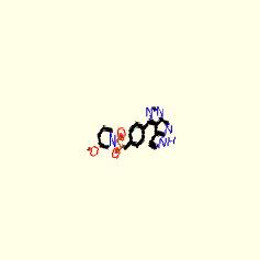 COC1CCCN(S(=O)(=O)CC2CCC(c3ncnc4cnc5[nH]ccc5c34)CC2)C1